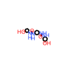 O=C(NC1CCC[C@H](O)C1)N[C@H]1CCC[C@@H](NC(=O)N[C@H]2CCC[C@@H](O)CC2)CC1